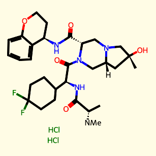 CN[C@@H](C)C(=O)N[C@H](C(=O)N1C[C@H]2C[C@@](C)(O)CN2C[C@H]1C(=O)N[C@@H]1CCOc2ccccc21)C1CCC(F)(F)CC1.Cl.Cl